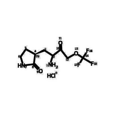 Cl.NC(C[C@@H]1CCNC1=O)C(=O)COC(F)(F)F